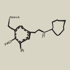 CCCC(C)Cc1cc(CNC2CCCCC2)cc(C(C)C)c1O